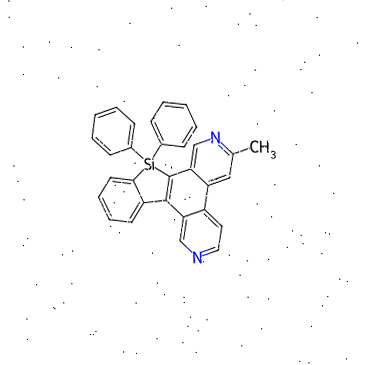 Cc1cc2c(cn1)c1c(c3cnccc32)-c2ccccc2[Si]1(c1ccccc1)c1ccccc1